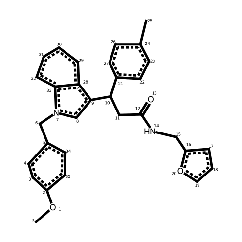 COc1ccc(Cn2cc(C(CC(=O)NCc3ccco3)c3ccc(C)cc3)c3ccccc32)cc1